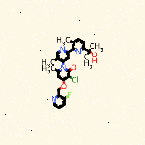 Cc1cnc(-c2nc(C(C)(C)O)ccc2C)cc1-n1c(C)cc(OCc2ncccc2F)c(Cl)c1=O